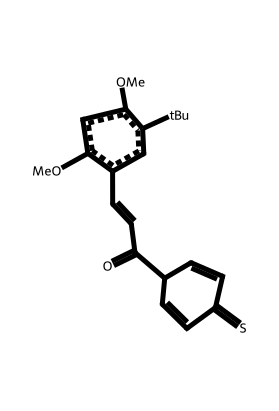 COc1cc(OC)c(C(C)(C)C)cc1/C=C/C(=O)C1C=CC(=S)C=C1